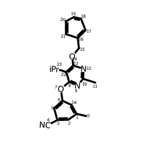 Cc1cc(C#N)cc(Oc2nc(C)nc(OCc3ccccc3)c2C(C)C)c1